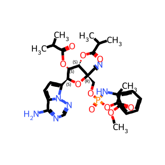 COC(=O)C(C)NP(=O)(OC[C@@]1(C#N)O[C@@H](c2ccc3c(N)ncnn23)[C@H](OC(=O)C(C)C)[C@@H]1OC(=O)C(C)C)Oc1ccccc1